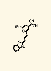 CN1/C(=C/C=C/C2=CC(=C(C#N)C#N)C=C(C(C)(C)C)O2)Sc2ccccc21